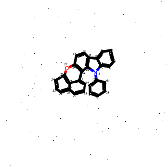 c1ccc(-n2c3ccccc3c3ccc4c(c32)-c2cccc3cccc(c23)O4)cc1